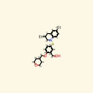 CCc1ccc2c(c1)CC(CC)CN2Sc1ccc(OCC2CCOCC2)c(CO)c1